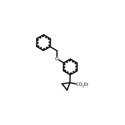 CCOC(=O)C1(c2cccc(OCc3ccccc3)c2)CC1